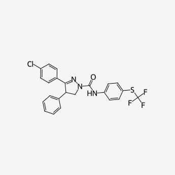 O=C(Nc1ccc(SC(F)(F)F)cc1)N1CC(c2ccccc2)C(c2ccc(Cl)cc2)=N1